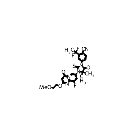 COCCOc1cc(=O)n2cc(N3C(=S)N(c4ccc(C#N)c(C(C)(F)F)c4)C(=O)C3(C)C)cc(F)c2n1